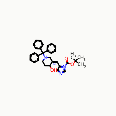 CC(C)(C)OC(=O)n1cncc1/C=C1/CN(C(c2ccccc2)(c2ccccc2)c2ccccc2)CCC1O